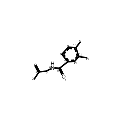 C=C(C)CNC(=O)c1ccc(C)c(C)c1